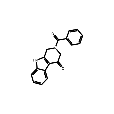 O=C1CN(C(=O)c2ccccc2)Cc2[nH]c3ccccc3c21